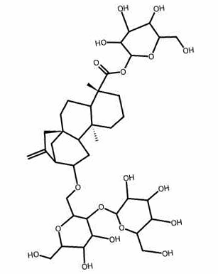 C=C1C[C@@]23CCC4[C@@](C)(CCC[C@@]4(C)C(=O)OC4OC(CO)C(O)C(O)C4O)C2CC(OCC2OC(CO)C(O)C(O)C2OC2OC(CO)C(O)C(O)C2O)C1C3